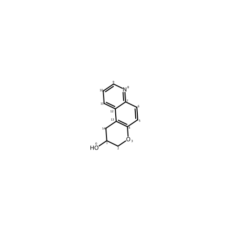 OC1COc2ccc3ncccc3c2C1